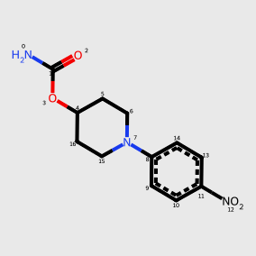 NC(=O)OC1CCN(c2ccc([N+](=O)[O-])cc2)CC1